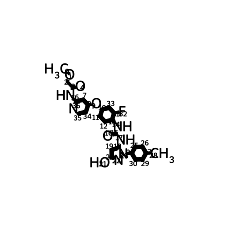 COCC(=O)Nc1cc(Oc2ccc(NC(=O)Nc3cc(O)nn3-c3ccc(C)cc3)c(F)c2)ccn1